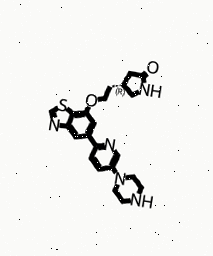 O=C1C[C@@H](CCOc2cc(-c3ccc(N4CCNCC4)cn3)cc3ncsc23)CN1